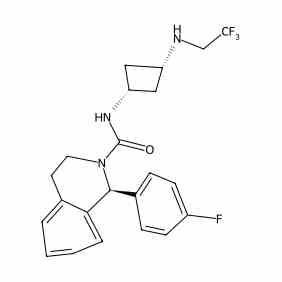 O=C(N[C@H]1C[C@@H](NCC(F)(F)F)C1)N1CCc2ccccc2[C@@H]1c1ccc(F)cc1